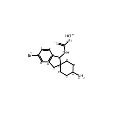 CCC(=O)NC1c2ccc(Br)cc2CC12CCC(N)CC2.Cl